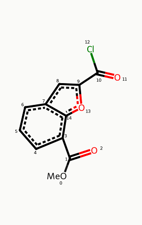 COC(=O)c1cccc2cc(C(=O)Cl)oc12